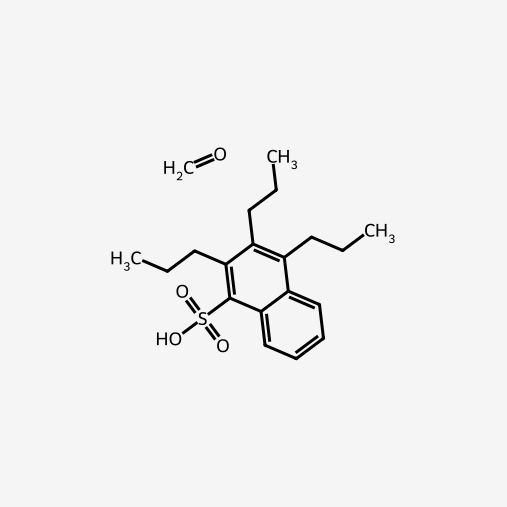 C=O.CCCc1c(CCC)c(S(=O)(=O)O)c2ccccc2c1CCC